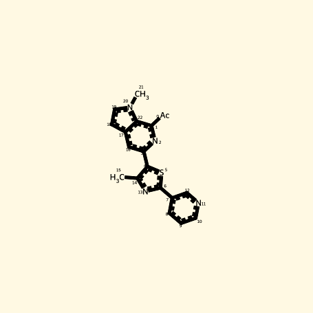 CC(=O)c1nc(-c2sc(-c3cccnc3)nc2C)cc2ccn(C)c12